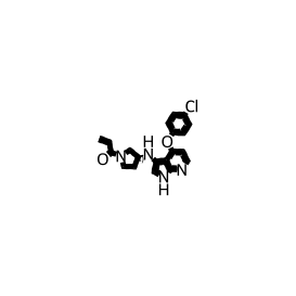 C=CC(=O)N1CC[C@@H](Nc2c[nH]c3nccc(Oc4ccc(Cl)cc4)c23)C1